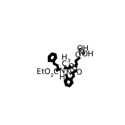 CCOC(=O)C(CCc1ccccc1)NC(C)C(=O)N1Cc2ccccc2CC1C(=O)OCCCON(O)O